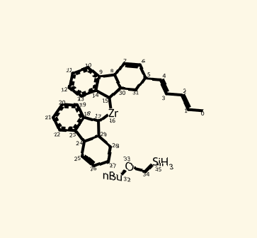 CC=CC=CC1C=CC2c3ccccc3[CH]([Zr][CH]3c4ccccc4C4C=CCCC43)C2C1.CCCCOC[SiH3]